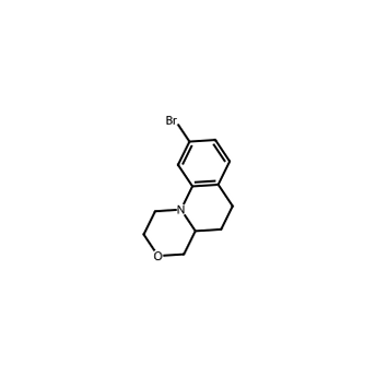 Brc1ccc2c(c1)N1CCOCC1CC2